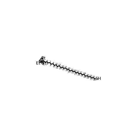 CCO[Si](CCCCCCCCCCCCCCCCCCCCCCCCCCCCCCCCCCS)(OCC)OCC